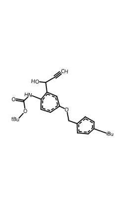 C#CC(O)c1cc(OCc2ccc(C(C)CC)cc2)ccc1NC(=O)OC(C)(C)C